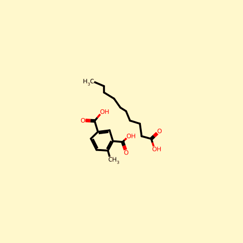 CCCCCCCCCC(=O)O.Cc1ccc(C(=O)O)cc1C(=O)O